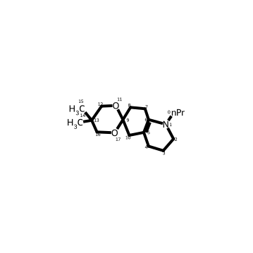 CCCN1CCCC2=C1CCC1(C2)OCC(C)(C)CO1